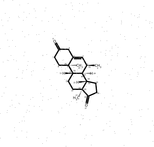 C[C@@H]1C=C2CC(=O)CC[C@]2(C)[C@H]2CC[C@]3(C)C(=O)CC[C@H]3[C@H]12